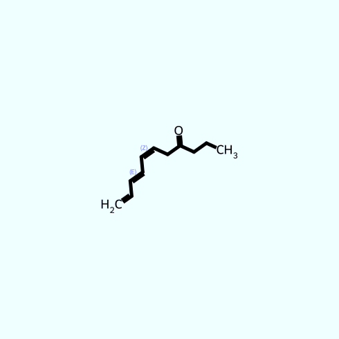 C=C/C=C/C=C\CC(=O)CCC